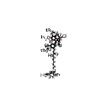 Cc1c(OC(=O)C(C)(C)C)c(Cl)cc2c1Oc1c(cc(CCC(=O)NCCCCCCOP(OCCO)N(C(C)C)C(C)C)c(OC(=O)C(C)(C)C)c1Cl)C21OC(=O)c2cc(Cl)c(Cl)cc21